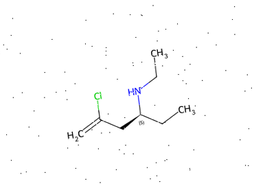 C=C(Cl)C[C@H](CC)NCC